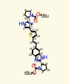 CC(C)(C)OC(=O)N1CCC[C@H]1c1nc(-c2ccc(/C=C/c3ccc4nc([C@@H]5CCCN5C(=O)OC(C)(C)C)[nH]c4c3)s2)c[nH]1